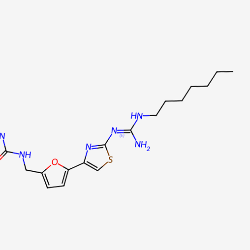 CCCCCCCN/C(N)=N/c1nc(-c2ccc(CNC(N)=O)o2)cs1